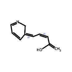 C=C(O)/C=C\C=C1\C=CC=NC1